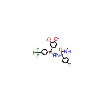 CNC(=O)[C@H](NCC[C@H](c1ccc(C(F)(F)F)cc1)c1ccc(OC)c(OC)c1)c1ccc(F)cc1